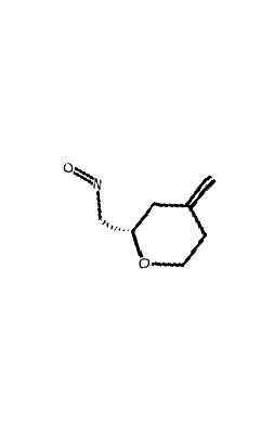 C=C1CCO[C@H](CN=O)C1